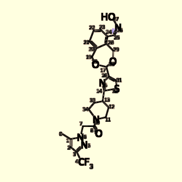 Cc1cc(C(F)(F)F)nn1CC(=O)N1CCC(c2nc(C3OCc4cccc(/C=N\O)c4CO3)cs2)CC1